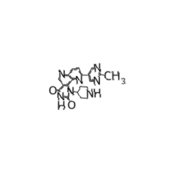 Cc1ncc(-c2ccc3ncc4c(=O)[nH]c(=O)n(C5CCNCC5)c4c3n2)cn1